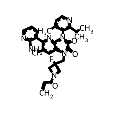 C=CC(=O)N1CC(F)(Cn2c(=O)c(=O)n(-c3c(C)ccnc3C(C)C)c3nc(-c4cccnc4N)c(Cl)cc32)C1